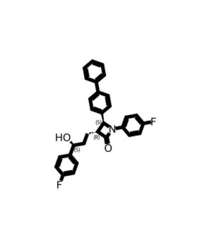 O=C1[C@H](CC[C@H](O)c2ccc(F)cc2)[C@@H](c2ccc(-c3ccccc3)cc2)N1c1ccc(F)cc1